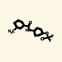 Cc1cccc(C(=O)Nc2ccc(OC(F)(F)Cl)cc2)c1